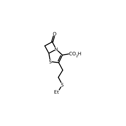 CCSCCC1=C(C(=O)O)N2C(=O)CC2S1